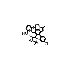 COC(=O)[C@@H](OC(C)(C)C)c1c(C)c2c3c(cc(C)n3CCN2c2cccc(O)n2)c1-c1ccc(Cl)cc1